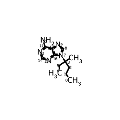 CCCC(C)(CC)n1cnc2c(N)ncnc21